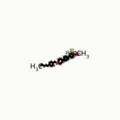 CCCCCC1CCC(CCC2CCC(c3ccc(-c4ccc(OCC)c(F)c4F)cc3)CC2)CC1